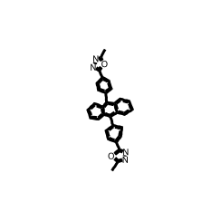 Cc1nnc(-c2ccc(-c3c4ccccc4c(-c4ccc(-c5nnc(C)o5)cc4)c4ccccc34)cc2)o1